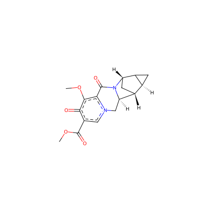 COC(=O)c1cn2c(c(OC)c1=O)C(=O)N1[C@H](C2)[C@@H]2C[C@H]1C1C[C@H]12